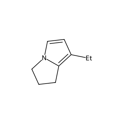 CCc1ccn2c1CCC2